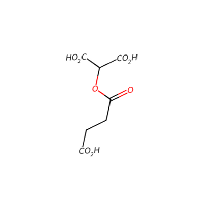 O=C(O)CCC(=O)OC(C(=O)O)C(=O)O